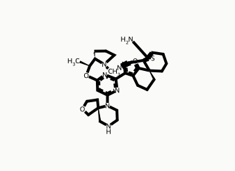 C[C@H](Oc1cc(N2CCNC[C@@]23CCOC3)nc(-c2noc3c2CCC[C@@]32CCCc3sc(N)c(C#N)c32)n1)[C@@H]1CCCN1C